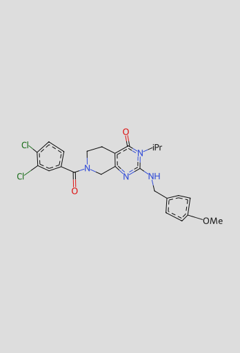 COc1ccc(CNc2nc3c(c(=O)n2C(C)C)CCN(C(=O)c2ccc(Cl)c(Cl)c2)C3)cc1